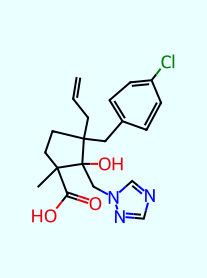 C=CCC1(Cc2ccc(Cl)cc2)CCC(C)(C(=O)O)C1(O)Cn1cncn1